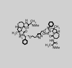 CN[C@@H](C)C(=S)N[C@H]1CCS[C@H]2CC(C)(C)[C@@H](C(=O)N[C@H](COCCn3cc(COC[C@H](c4ccccc4)N(C=O)[C@H]4N5C(=O)[C@@H](NC(=S)[C@H](C)NC)CCS[C@H]5CC4(C)C)nn3)c3ccccc3)N2C1=O